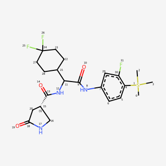 CS(C)(C)c1ccc(NC(=O)C(NC(=O)[C@@H]2CNC(=O)C2)C2CCC(F)(F)CC2)cc1F